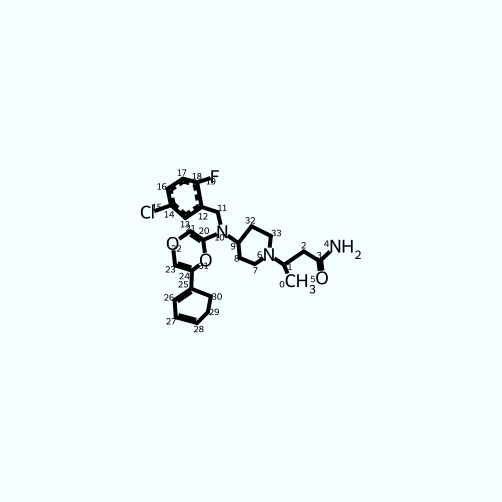 CC(CC(N)=O)N1CCC(N(Cc2cc(Cl)ccc2F)C2=COC=C(C3=CC=CCC3)O2)CC1